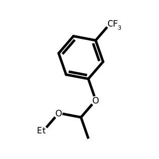 CCOC(C)Oc1cccc(C(F)(F)F)c1